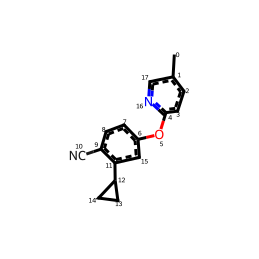 Cc1ccc(Oc2ccc(C#N)c(C3CC3)c2)nc1